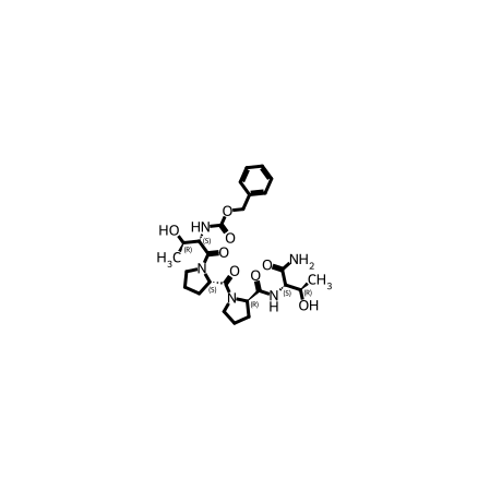 C[C@@H](O)[C@H](NC(=O)[C@H]1CCCN1C(=O)[C@@H]1CCCN1C(=O)[C@@H](NC(=O)OCc1ccccc1)[C@@H](C)O)C(N)=O